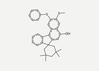 CSc1cc2c(O)cc3c(c2cc1Sc1ccccc1)-c1ccccc1C31CC(C)(C)CC(C)(C)C1